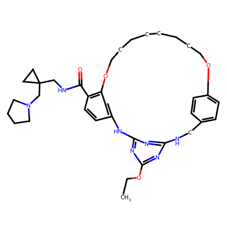 CCOc1nc2nc(n1)Nc1ccc(C(=O)NCC3(CN4CCCC4)CC3)c(c1)OCCCCCCCCOc1ccc(cc1)CN2